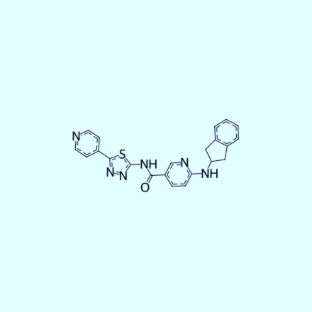 O=C(Nc1nnc(-c2ccncc2)s1)c1ccc(NC2Cc3ccccc3C2)nc1